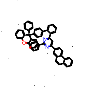 c1ccc(-c2nc(-c3ccc4c(ccc5ccccc54)c3)cc(-c3ccccc3-c3ccc(C4(c5ccccc5)c5ccccc5Oc5ccccc54)cc3)n2)cc1